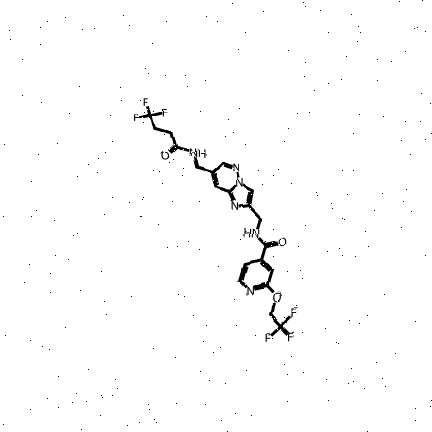 O=C(CCC(F)(F)F)NCc1cnn2cc(CNC(=O)c3ccnc(OCC(F)(F)F)c3)nc2c1